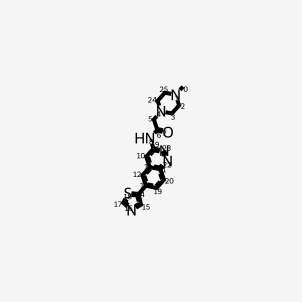 CN1CCN(CC(=O)Nc2cc3cc(-c4cncs4)ccc3nn2)CC1